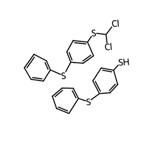 ClC(Cl)Sc1ccc(Sc2ccccc2)cc1.Sc1ccc(Sc2ccccc2)cc1